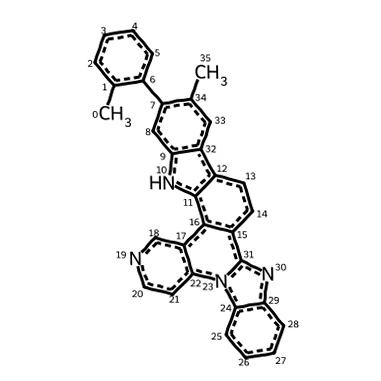 Cc1ccccc1-c1cc2[nH]c3c(ccc4c3c3cnccc3n3c5ccccc5nc43)c2cc1C